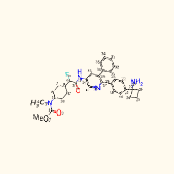 COC(=O)N(C)C1CCC(C(F)C(=O)Nc2cnc(-c3ccc(C4(N)CCC4)cc3)c(-c3ccccc3)c2)CC1